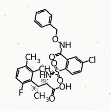 Cc1ccc(F)c([C@@H](C)[C@H](NS(=O)(=O)c2ccc(Cl)cc2C(=O)NOCc2ccccc2)C(=O)O)c1C